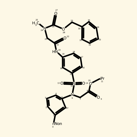 CCCCCCCCCc1cccc(N(CC(=O)OC(C)C)S(=O)(=O)c2cccc(NC(=O)CN(C)C(=O)OCc3ccccc3)c2)c1